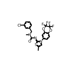 Cc1cn(-c2ccc3c(c2)OC(F)(F)C(F)(F)O3)/c(=N/C(=O)N(C)Cc2cccc(Cl)c2)s1